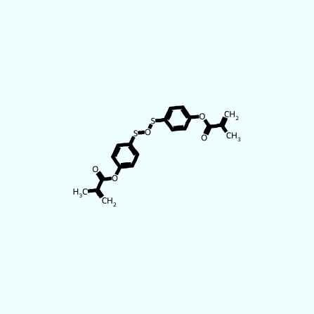 C=C(C)C(=O)Oc1ccc(SOSc2ccc(OC(=O)C(=C)C)cc2)cc1